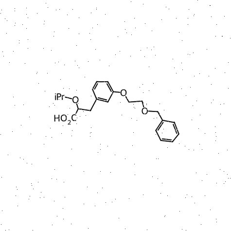 CC(C)OC(Cc1cccc(OCCOCc2ccccc2)c1)C(=O)O